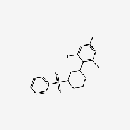 O=S(=O)(c1cccnc1)N1CCCC(c2c(F)cc(F)cc2F)C1